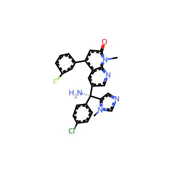 Cn1cncc1[C@@](N)(c1ccc(Cl)cc1)c1cnc2c(c1)c(-c1cccc(F)c1)cc(=O)n2C